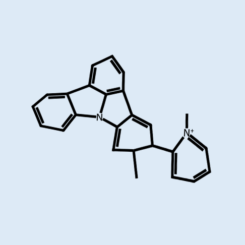 CC1C=c2c(c3cccc4c5ccccc5n2c34)=CC1c1cccc[n+]1C